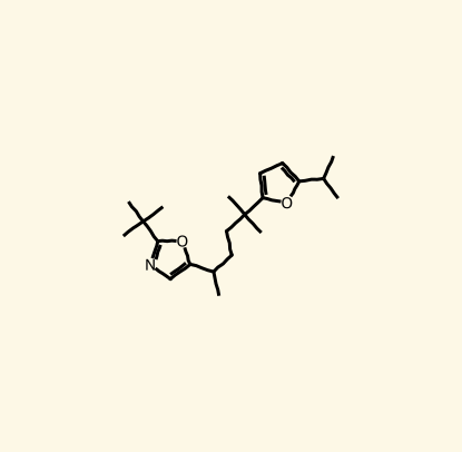 CC(C)c1ccc(C(C)(C)CCC(C)c2cnc(C(C)(C)C)o2)o1